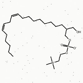 CCCCC/C=C\C/C=C\CCCCCCCCC(CO)COP(=O)([O-])OCC[N+](C)(C)C